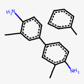 Cc1cc(-c2ccc(N)c(C)c2)ccc1N.Cc1ccccc1